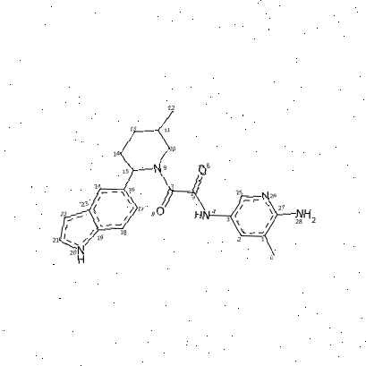 Cc1cc(NC(=O)C(=O)N2CC(C)CCC2c2ccc3[nH]ccc3c2)cnc1N